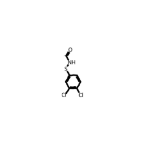 O=[C]NSc1ccc(Cl)c(Cl)c1